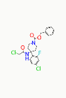 O=C(CCl)NC1(c2ccc(Cl)cc2F)CCN(C(=O)OCc2ccccc2)CC1